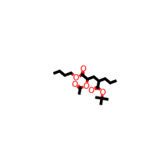 CCCCOC(=O)C(CC(CCC)C(=O)OC(C)(C)C)OC(C)=O